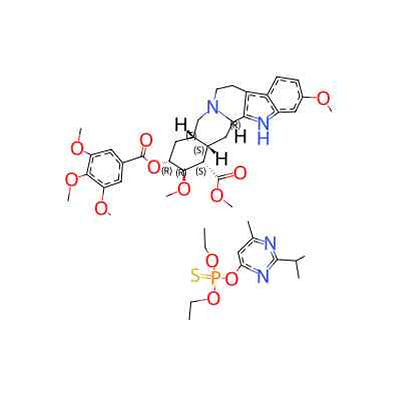 CCOP(=S)(OCC)Oc1cc(C)nc(C(C)C)n1.COC(=O)[C@H]1[C@H]2C[C@@H]3c4[nH]c5cc(OC)ccc5c4CCN3C[C@H]2C[C@@H](OC(=O)c2cc(OC)c(OC)c(OC)c2)[C@@H]1OC